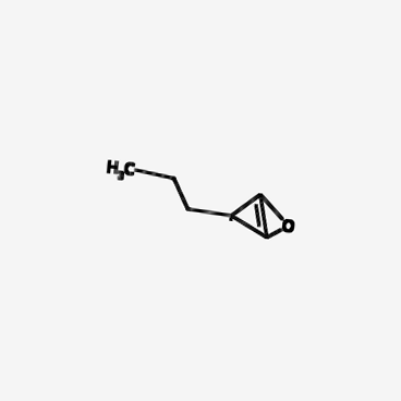 CCC[C]1C2=C1O2